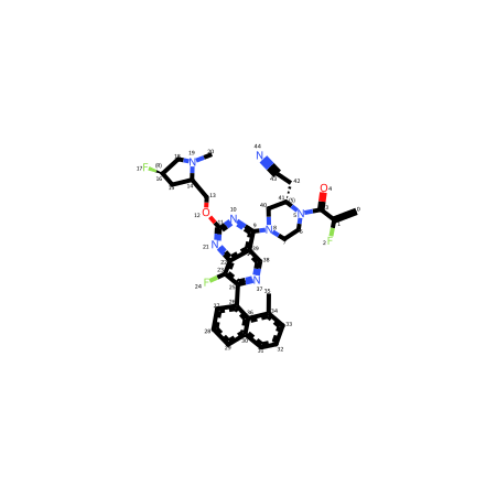 C=C(F)C(=O)N1CCN(c2nc(OCC3C[C@@H](F)CN3C)nc3c(F)c(-c4cccc5cccc(C)c45)ncc23)C[C@@H]1CC#N